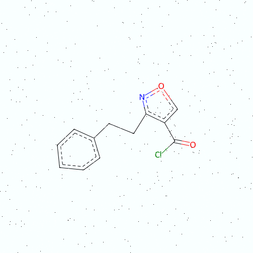 O=C(Cl)c1conc1CCc1ccccc1